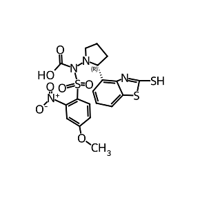 COc1ccc(S(=O)(=O)N(C(=O)O)N2CCC[C@@H]2c2cccc3sc(S)nc23)c([N+](=O)[O-])c1